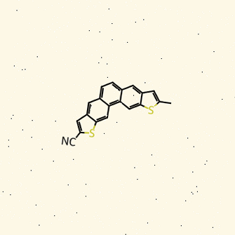 Cc1cc2cc3ccc4cc5cc(C#N)sc5cc4c3cc2s1